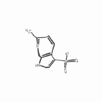 Cc1ccc2c(S(=O)(=O)Cl)c[nH]c2n1